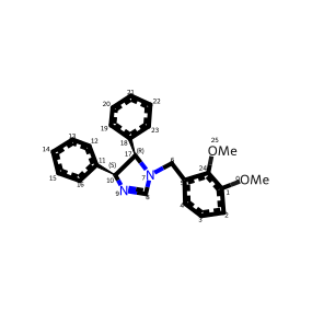 COc1cccc(CN2C=N[C@@H](c3ccccc3)[C@H]2c2ccccc2)c1OC